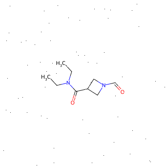 CCN(CC)C(=O)C1CN(C=O)C1